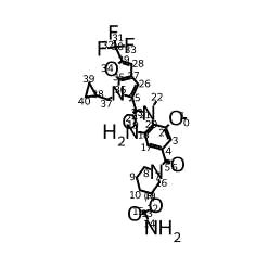 COc1cc(C(=O)N2CCC[C@@H](OC(N)=O)C2)cc(N)c1N(C)C(=O)c1cc2cc(C(F)(F)F)oc2n1CC1CC1